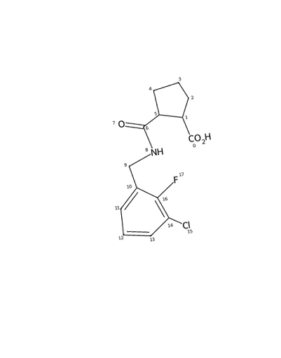 O=C(O)C1CCCC1C(=O)NCc1cccc(Cl)c1F